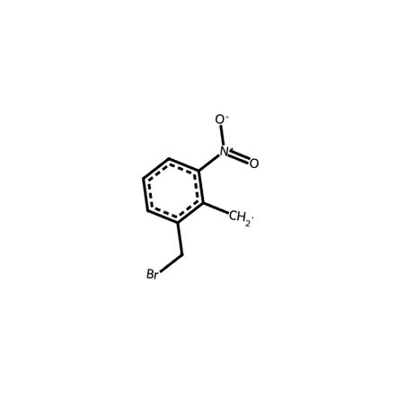 [CH2]c1c(CBr)cccc1[N+](=O)[O-]